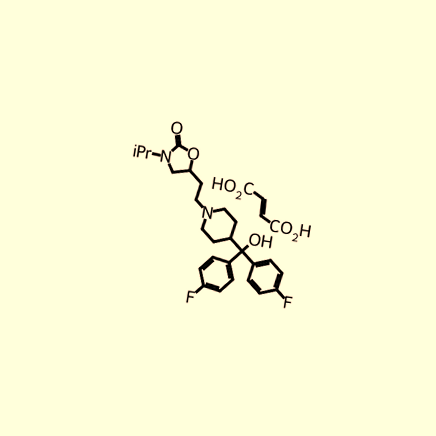 CC(C)N1CC(CCN2CCC(C(O)(c3ccc(F)cc3)c3ccc(F)cc3)CC2)OC1=O.O=C(O)C=CC(=O)O